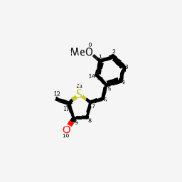 COc1cccc(CC2CC(=O)C(C)S2)c1